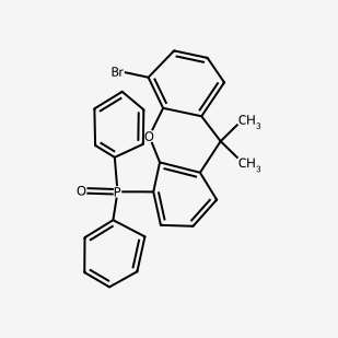 CC1(C)c2cccc(Br)c2Oc2c1cccc2P(=O)(c1ccccc1)c1ccccc1